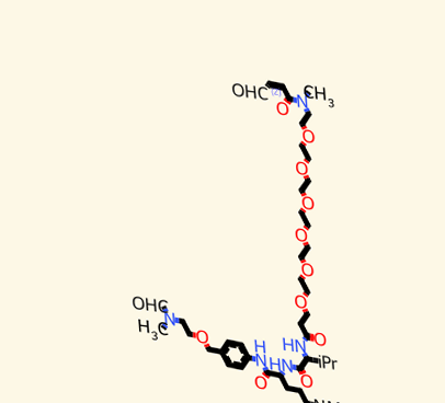 CNCCCC(NC(=O)C(NC(=O)CCOCCOCCOCCOCCOCCOCCN(C)C(=O)/C=C\C=O)C(C)C)C(=O)Nc1ccc(COCCN(C)C=O)cc1